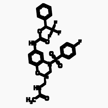 CC(=O)NC[C@H]1CN(S(=O)(=O)c2ccc(F)cc2)c2cc(NC(=O)OC(c3ccccc3)C(F)(F)F)ccc2O1